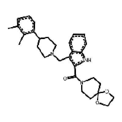 Cc1cccc(C2CCN(Cc3c(C(=O)N4CCC5(CC4)OCCO5)[nH]c4ccccc34)CC2)c1C